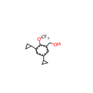 OCc1cc(C2CC2)cc(C2CC2)c1OC(F)(F)F